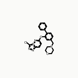 Clc1nnc2ccc(Oc3cc(CN4CCOCC4)ccc3-c3ccccc3)nn12